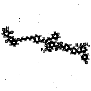 CC1(C)CCC(c2ccc(Cl)cc2)=C(CN2CCN(c3ccc(C(=O)NS(=O)(=O)c4ccc(N[C@H](CCN5CCN(CCCCCCOc6cccc7c6CN(C6CCC(=O)NC6=O)C7=O)CC5)CSc5ccccc5)c(S(=O)(=O)C(F)(F)F)c4)cc3)CC2)C1